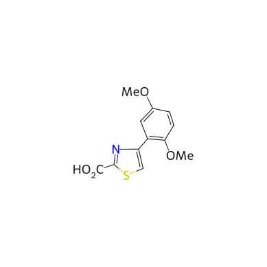 COc1ccc(OC)c(-c2csc(C(=O)O)n2)c1